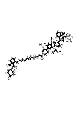 Cc1cc(Nc2ncc(Cl)c(Nc3ccccc3S(=O)(=O)C(C)C)n2)c(OC(C)C)cc1C1CCN(C(=O)CCOCCOCCOCCSc2cccc3c2C(=O)N(C2CCC(=O)NC2=O)C3=O)CC1